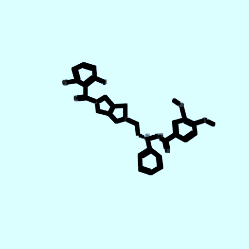 COc1ccc(C(=O)N[C@@H](CCN2CC3CN(C(=O)c4c(F)cccc4Cl)CC3C2)c2ccccc2)cc1OC